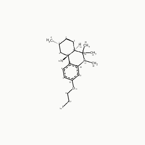 C[C@@H]1CC[C@@H]2[C@@H](C1)c1ccc(OCCI)cc1N(C)C2(C)C